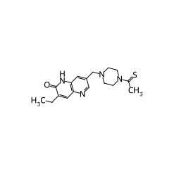 CCc1cc2ncc(CN3CCN(C(C)=S)CC3)cc2[nH]c1=O